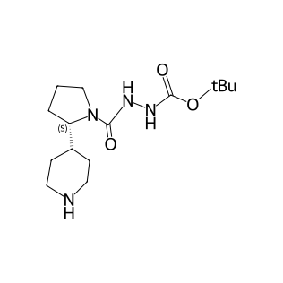 CC(C)(C)OC(=O)NNC(=O)N1CCC[C@H]1C1CCNCC1